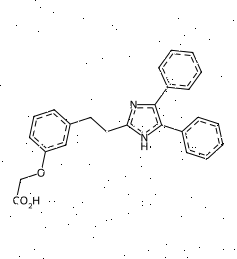 O=C(O)COc1cccc(CCc2nc(-c3ccccc3)c(-c3ccccc3)[nH]2)c1